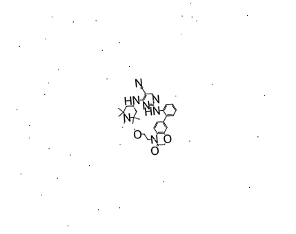 COCCN1C(=O)COc2cc(-c3ccccc3Nc3ncc(C#N)c(NC4CC(C)(C)N(C)C(C)(C)C4)n3)ccc21